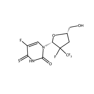 O=c1[nH]c(=S)c(F)cn1[C@@H]1O[C@H](CO)CC1(F)C(F)(F)F